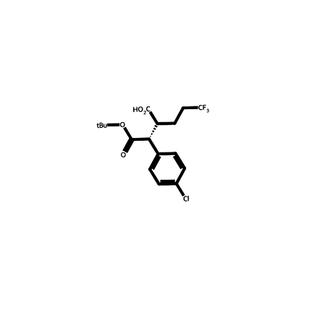 CC(C)(C)OC(=O)[C@@H](c1ccc(Cl)cc1)C(CCC(F)(F)F)C(=O)O